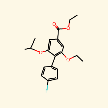 CCOC(=O)c1cc(OCC)c(-c2ccc(F)cc2)c(OC(C)C)c1